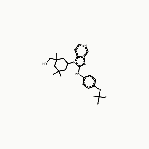 CC1(C)CC(n2c(Nc3ccc(OC(F)(F)F)cc3)nc3cnccc32)CC(C)(CO)C1